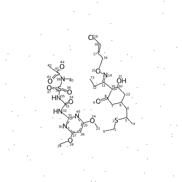 CCSC(C)CC1CC(=O)C(/C(CC)=N/OC/C=C/Cl)=C(O)C1.COc1cc(OC)nc(NC(=O)NS(=O)(=O)N(C)S(C)(=O)=O)n1